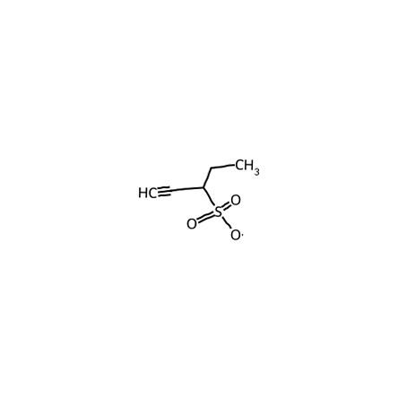 C#CC(CC)S([O])(=O)=O